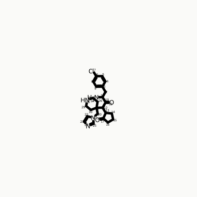 NC(Cc1ccc(Cl)cc1)C(=O)C(C1CCCC1=O)C1(Cn2ccnc2)CCNCC1